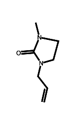 C=CCN1CCN(C)C1=O